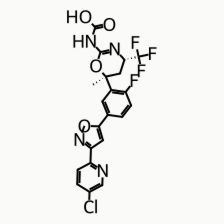 C[C@@]1(c2cc(-c3cc(-c4ccc(Cl)cn4)no3)ccc2F)C[C@@H](C(F)(F)F)N=C(NC(=O)O)O1